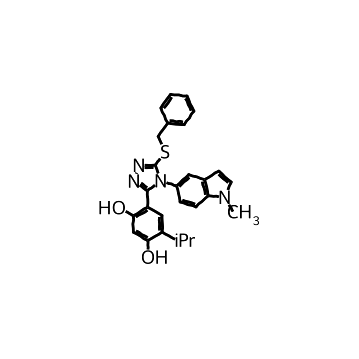 CC(C)c1cc(-c2nnc(SCc3ccccc3)n2-c2ccc3c(ccn3C)c2)c(O)cc1O